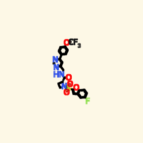 O=C(NCc1cc(-c2ccc(OC(F)(F)F)cc2)ncn1)[C@@H]1CCN1S(=O)(=O)c1cc2cc(F)ccc2o1